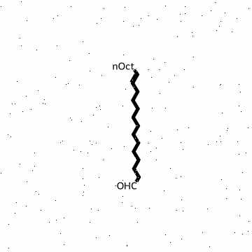 CCCCCCCCC=CCCCCCCCCCCC[C]=O